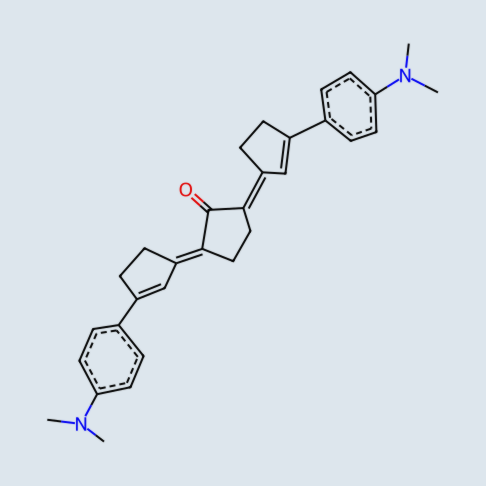 CN(C)c1ccc(C2=C/C(=C3\CC/C(=C4\C=C(c5ccc(N(C)C)cc5)CC4)C3=O)CC2)cc1